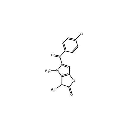 CC1C(=O)Oc2cc(C(=O)c3ccc(Cl)cc3)n(C)c21